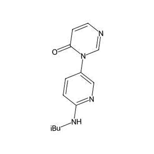 CCC(C)Nc1ccc(-n2cnccc2=O)cn1